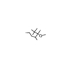 CCCC(C)C(C)(OC)C(C)(C)C